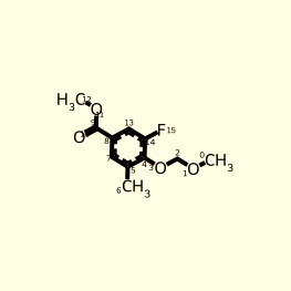 COCOc1c(C)cc(C(=O)OC)cc1F